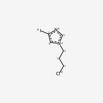 ClCCCn1cnc(I)c1